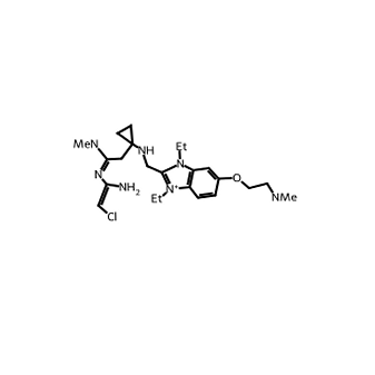 CCn1c(CNC2(C/C(=N\C(N)=C\Cl)NC)CC2)[n+](CC)c2ccc(OCCNC)cc21